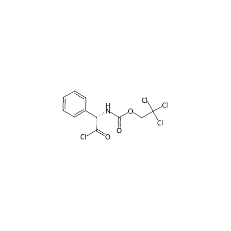 O=C(N[C@H](C(=O)Cl)c1ccccc1)OCC(Cl)(Cl)Cl